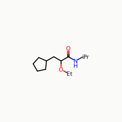 CCOC(CC1CCCC1)C(=O)NC(C)C